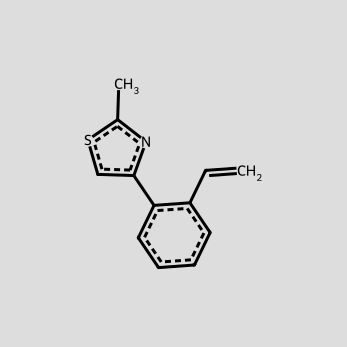 C=Cc1ccccc1-c1csc(C)n1